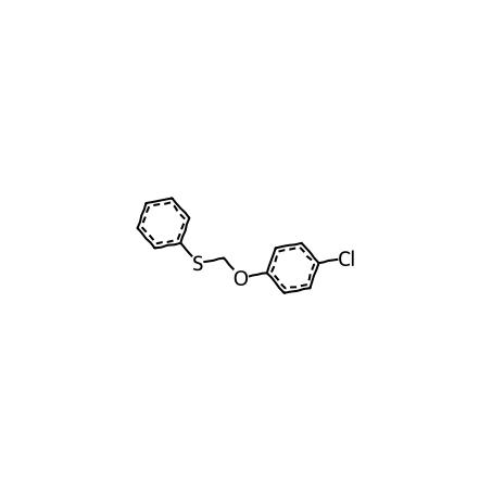 Clc1ccc(OCSc2ccccc2)cc1